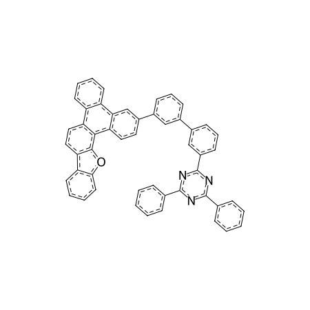 c1ccc(-c2nc(-c3ccccc3)nc(-c3cccc(-c4cccc(-c5ccc6c(c5)c5ccccc5c5ccc7c8ccccc8oc7c56)c4)c3)n2)cc1